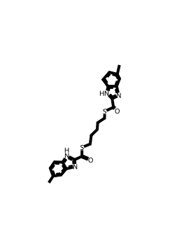 Cc1ccc2[nH]c(C(=O)SCCCCCSC(=O)c3nc4cc(C)ccc4[nH]3)nc2c1